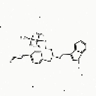 CC(C)(C)[Si](C)(C)OCCN(CCc1c[nH]c2ccccc12)Cc1ccc(/C=C/C=O)cc1